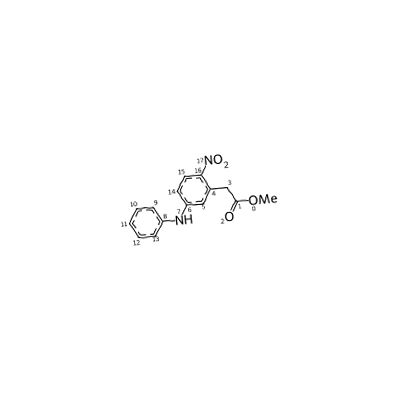 COC(=O)Cc1cc(Nc2ccccc2)ccc1[N+](=O)[O-]